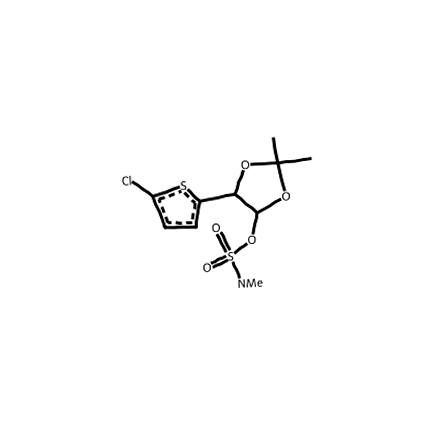 CNS(=O)(=O)OC1OC(C)(C)OC1c1ccc(Cl)s1